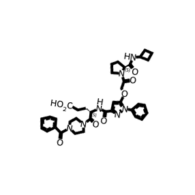 O=C(O)CC[C@H](NC(=O)c1cc(OCC(=O)N2CCC[C@H]2C(=O)NC2CCC2)n(-c2ccccc2)n1)C(=O)N1CCN(C(=O)c2ccccc2)CC1